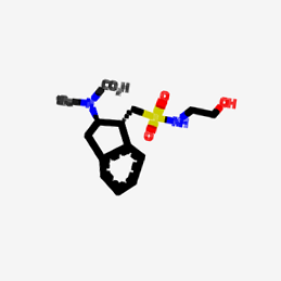 CC(C)(C)N(C(=O)O)[C@@H]1Cc2ccccc2[C@H]1CS(=O)(=O)NCCO